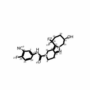 N#Cc1cc(NC(=O)N2CCc3nn4c(c3C2)C(F)(F)CC[C@@H](O)C4)ccc1F